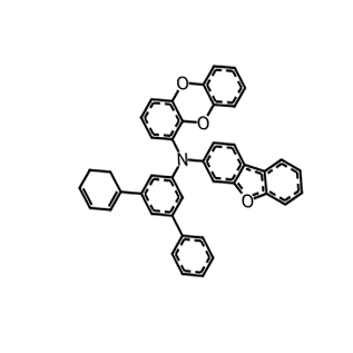 C1=CCCC(c2cc(-c3ccccc3)cc(N(c3ccc4c(c3)oc3ccccc34)c3cccc4c3Oc3ccccc3O4)c2)=C1